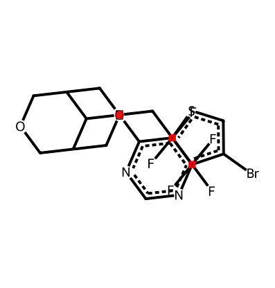 FC(F)(F)C(F)(F)CN1CC2COCC(C1)C2Oc1ncnc2c(Br)csc12